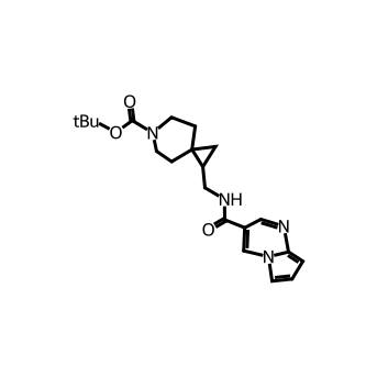 CC(C)(C)OC(=O)N1CCC2(CC1)CC2CNC(=O)c1cnc2cccn2c1